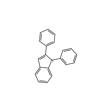 [c]1ccccc1-c1cc2ccccc2n1-c1ccccc1